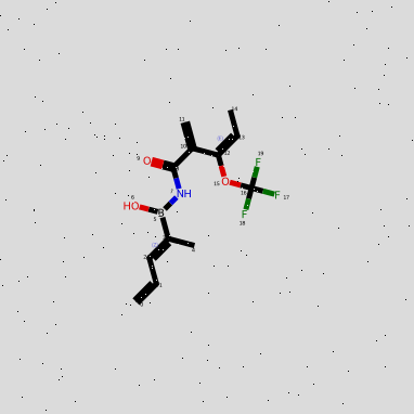 C=C/C=C(\C)B(O)NC(=O)C(=C)/C(=C\C)OC(F)(F)F